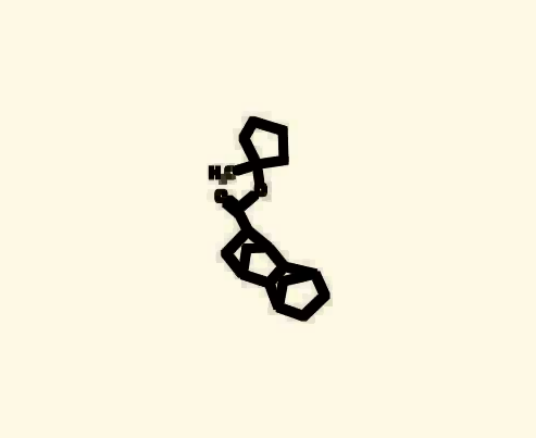 CC1(OC(=O)C2CC3CC2C2C4CCC(C4)C32)CCCC1